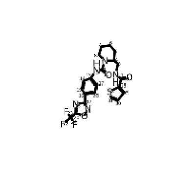 O=C(NCC1CCCCN1C(=O)Nc1ccc(-c2noc(C(F)(F)F)n2)cc1)c1cccs1